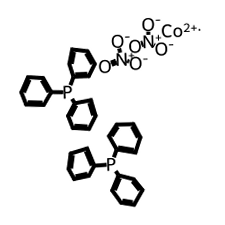 O=[N+]([O-])[O-].O=[N+]([O-])[O-].[Co+2].c1ccc(P(c2ccccc2)c2ccccc2)cc1.c1ccc(P(c2ccccc2)c2ccccc2)cc1